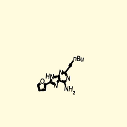 CCCCC#Cc1nc(N)c2nc(-c3ccco3)[nH]c2n1